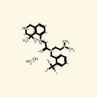 CN(C)CCN(Cc1ccccc1C(F)(F)F)C(=O)CNc1cccc2c1C(C)(C)CNC2.Cl.Cl